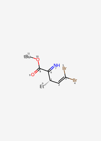 CC[C@@H](C=C(Br)Br)C(=N)C(=O)OC(C)(C)C